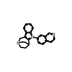 c1ccc2c(c1)c1c(n2-c2ccc3ccncc3c2)C2CCN(CC2)C1